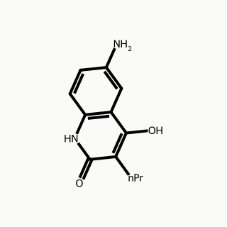 CCCc1c(O)c2cc(N)ccc2[nH]c1=O